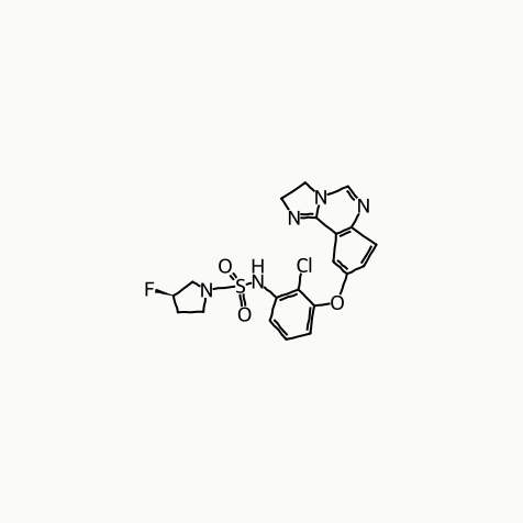 O=S(=O)(Nc1cccc(Oc2ccc3c(c2)C2=NCCN2C=N3)c1Cl)N1CC[C@@H](F)C1